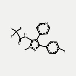 Cn1nc(-c2ccc(F)cc2)c(-c2ccncc2)c1NC(=O)C(F)(F)F